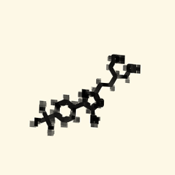 OCC(CO)CCc1nc(-c2ccc(C(F)(F)F)cc2)c(Br)o1